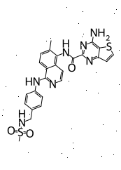 Cc1ccc2c(Nc3ccc(CNS(C)(=O)=O)cc3)nccc2c1NC(=O)c1nc(N)c2sccc2n1